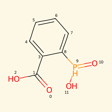 O=C(O)c1ccccc1[PH](=O)O